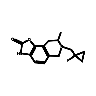 CC1Cc2c(ccc3[nH]c(=O)oc23)CN1CC1(F)CC1